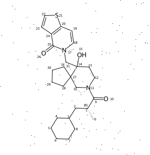 C[C@H](CC1CCCCC1)C(=O)N1CCC(O)(Cn2ccc3sccc3c2=O)C2(CCCC2)C1